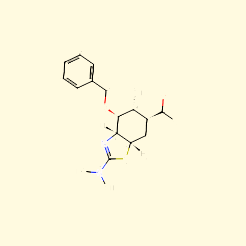 CC(O)[C@H]1C[C@@H]2SC(N(C)C)=N[C@@H]2[C@@H](OCc2ccccc2)[C@@H]1C